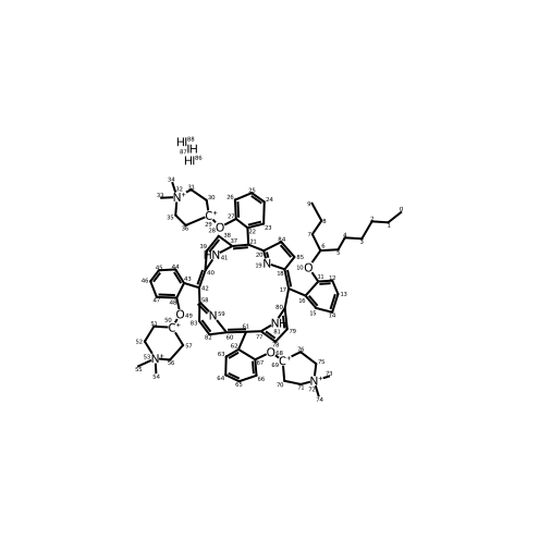 CCCCCCC(CCC)Oc1ccccc1-c1c2nc(c(-c3ccccc3O[C+]3CC[N+](C)(C)CC3)c3ccc([nH]3)c(-c3ccccc3O[C+]3CC[N+](C)(C)CC3)c3nc(c(-c4ccccc4O[C+]4CC[N+](C)(C)CC4)c4ccc1[nH]4)C=C3)C=C2.I.I.I